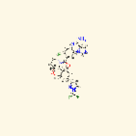 Nc1nc2cc(F)c(C(=O)N3CCC[C@@H]4OCc5cc(-c6ccn(C(F)F)n6)ccc5[C@@H]43)cc2n2cncc12